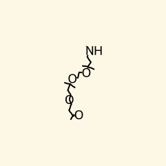 CNCCC(C)(C)OCCOC(C)(C)CCOCCC(C)=O